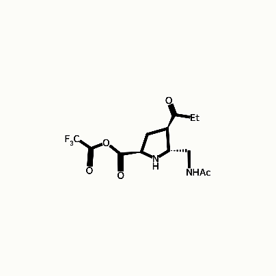 CCC(=O)[C@@H]1C[C@H](C(=O)OC(=O)C(F)(F)F)N[C@H]1CNC(C)=O